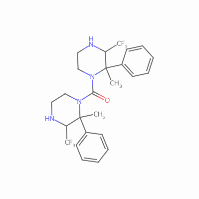 CC1(c2ccccc2)C(C(F)(F)F)NCCN1C(=O)N1CCNC(C(F)(F)F)C1(C)c1ccccc1